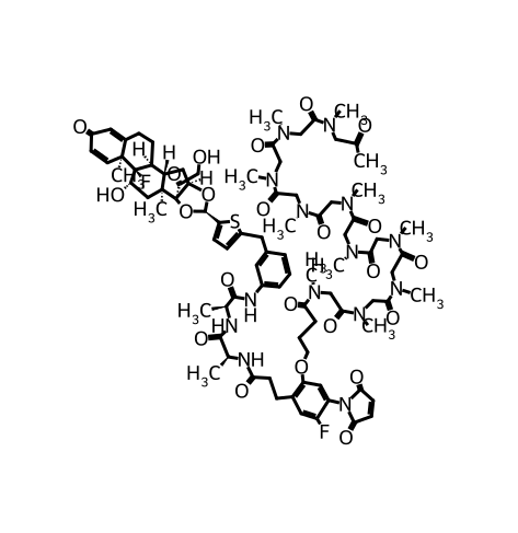 CC(=O)CN(C)C(=O)CN(C)C(=O)CN(C)C(=O)CN(C)C(=O)CN(C)C(=O)CN(C)C(=O)CN(C)C(=O)CN(C)C(=O)CN(C)C(=O)CN(C)C(=O)CCCOc1cc(N2C(=O)C=CC2=O)c(F)cc1CCC(=O)N[C@@H](C)C(=O)N[C@@H](C)C(=O)Nc1cccc(Cc2ccc([C@@H]3O[C@@H]4C[C@H]5[C@@H]6CCC7=CC(=O)C=C[C@]7(C)[C@@]6(F)[C@@H](O)C[C@]5(C)[C@]4(C(=O)CO)O3)s2)c1